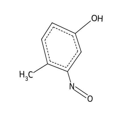 Cc1ccc(O)cc1N=O